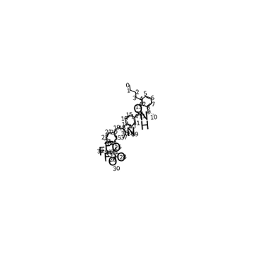 CCCCc1cccc([C@H](C)NC(=O)c2ccc3c(Cc4cccc(OC(C(=O)OC)C(F)(F)F)c4)c(C)n(C)c3c2)c1